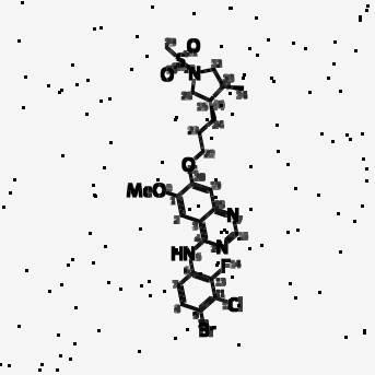 COc1cc2c(Nc3ccc(Br)c(Cl)c3F)ncnc2cc1OCCC[C@H]1CN(S(C)(=O)=O)C[C@H]1C